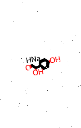 O=CC(O)c1ccc(O)cc1.[NaH]